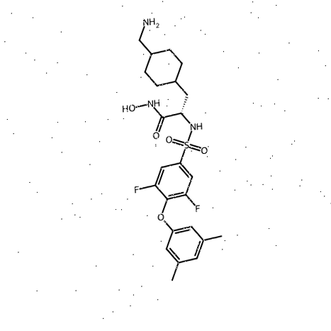 Cc1cc(C)cc(Oc2c(F)cc(S(=O)(=O)N[C@@H](CC3CCC(CN)CC3)C(=O)NO)cc2F)c1